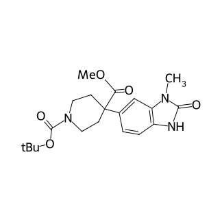 COC(=O)C1(c2ccc3[nH]c(=O)n(C)c3c2)CCN(C(=O)OC(C)(C)C)CC1